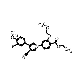 CCOC(=O)c1ccc(-n2cc(C#N)c(-c3ccc(OC)c(F)c3)c2)cc1OCOC